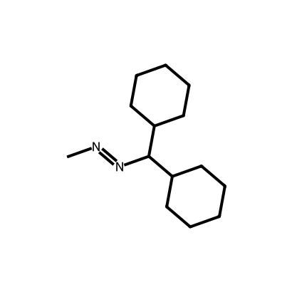 CN=NC(C1CCCCC1)C1CCCCC1